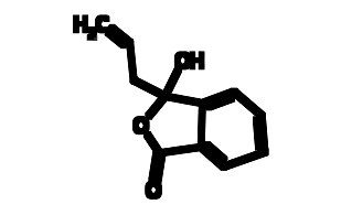 C=CCC1(O)OC(=O)c2ccccc21